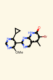 COc1ncnc(C2CC2)c1-c1ncc2c(C)c(Br)c(=O)[nH]c2n1